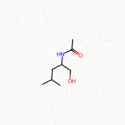 CC(=O)NC(CO)CC(C)C